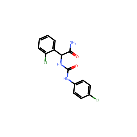 NC(=O)C(NC(=O)Nc1ccc(Cl)cc1)c1ccccc1Cl